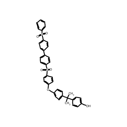 CC(C)(c1ccc(O)cc1)c1ccc(Oc2ccc(S(=O)(=O)c3ccc(-c4ccc(S(=O)(=O)c5ccccc5)cc4)cc3)cc2)cc1